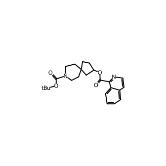 CC(C)(C)OC(=O)N1CCC2(CCC(OC(=O)c3nccc4ccccc34)C2)CC1